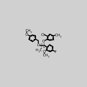 COc1ccc(CO[C@@H](C)[C@H](Oc2ccc(C)cc2Cl)c2ccc(F)cc2OC)cc1